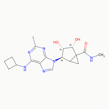 CNC(=O)C12CC1[C@@H](n1cnc3c(NC4CCC4)nc(I)nc31)[C@H](O)[C@@H]2O